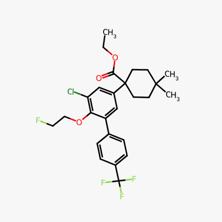 CCOC(=O)C1(c2cc(Cl)c(OCCF)c(-c3ccc(C(F)(F)F)cc3)c2)CCC(C)(C)CC1